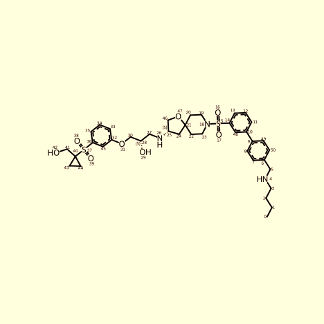 CCCCNCc1ccc(-c2cccc(S(=O)(=O)N3CCC4(CC3)C[C@H](NC[C@H](O)COc3cccc(S(=O)(=O)C5(CO)CC5)c3)CO4)c2)cc1